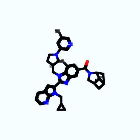 COc1cc(C(=O)N2CC3CC4CC2[C@H]43)cc2nc(-c3cc4cccnc4n3CC3CC3)n(C[C@H]3CCN(c4cncc(C#N)c4)C3)c12